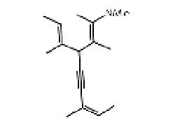 C/C=C(/C)C#CC(/C(C)=C/C)/C(C)=C(\C)NC